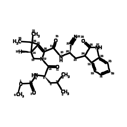 COC(=O)N[C@@H](CC(C)C)C(=O)N1C[C@H]2C(=C1C(=O)N[C@H](C#N)CC1C(=O)Nc3ccccc31)C2(C)C